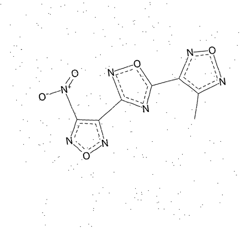 Cc1nonc1-c1nc(-c2nonc2[N+](=O)[O-])no1